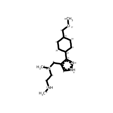 CNCCN(C)Cc1c[nH]nc1C1CCC(COC)CC1